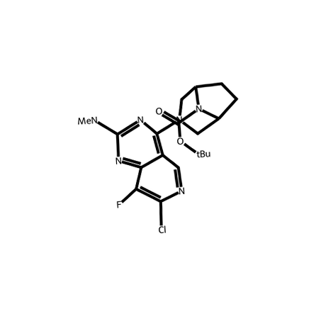 CNc1nc(N2CC3CCC(C2)N3C(=O)OC(C)(C)C)c2cnc(Cl)c(F)c2n1